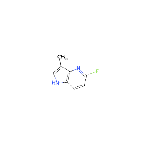 Cc1c[nH]c2ccc(F)nc12